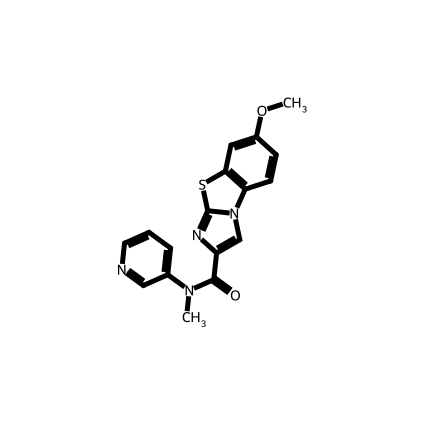 COc1ccc2c(c1)sc1nc(C(=O)N(C)c3cccnc3)cn12